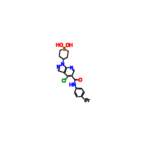 CC(C)c1ccc(NC(=O)c2cnc3c(cnn3C3CCS(O)(O)CC3)c2Cl)cc1